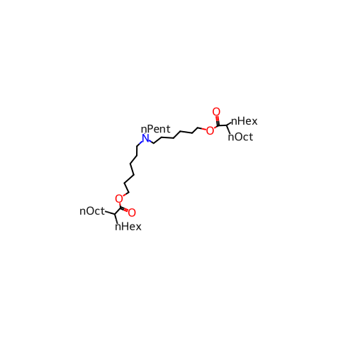 CCCCCCCCC(CCCCCC)C(=O)OCCCCCCN(CCCCC)CCCCCCOC(=O)C(CCCCCC)CCCCCCCC